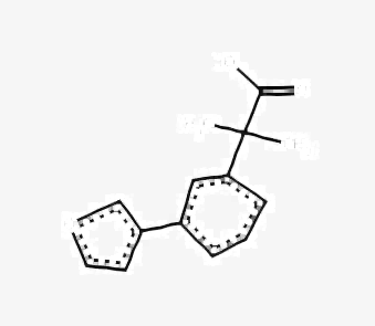 CC(C)(C(=O)O)c1cccc(-c2ccoc2)c1